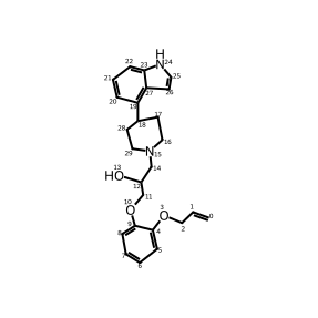 C=CCOc1ccccc1OCC(O)CN1CCC(c2cccc3[nH]ccc23)CC1